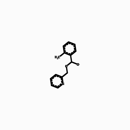 Cc1ccccc1C([O])OCc1ccccn1